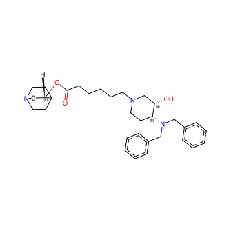 O=C(CCCCCN1CC[C@@H](N(Cc2ccccc2)Cc2ccccc2)[C@@H](O)C1)O[C@H]1CN2CCC1CC2